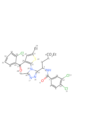 CCOC(=O)CCC(NC(=O)c1ccc(Cl)c(Cl)c1)c1nnc(C)n1-c1sc(CC)cc1C(=O)c1ccccc1Cl